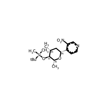 C[C@@H]1C[C@H](c2ccncc2[N+](=O)[O-])O[C@H](C)[C@H]1O[Si](C)(C)C(C)(C)C